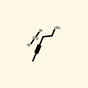 [Br][Mg][Br].[CH2]C#CCCCCCC